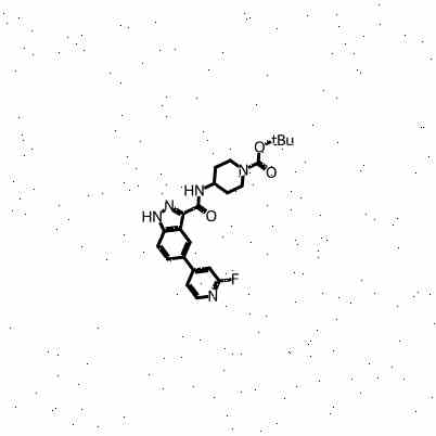 CC(C)(C)OC(=O)N1CCC(NC(=O)c2n[nH]c3ccc(-c4ccnc(F)c4)cc23)CC1